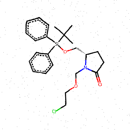 CC(C)(C)[Si](OC[C@@H]1CCC(=O)N1COCCCl)(c1ccccc1)c1ccccc1